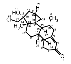 C[C@@H]1CC2=CC(=O)CC[C@@H]2[C@H]2CC[C@]3(C)[C@@](O)(CCl)C[C@@H]4C[C@]43[C@@H]21